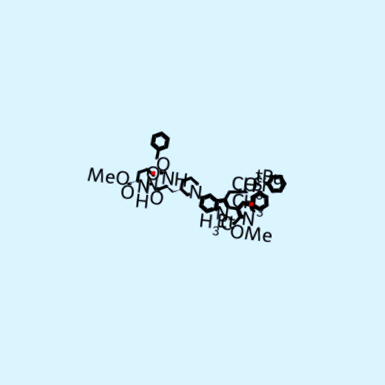 CCn1c(-c2cccnc2[C@H](C)OC)c(CC(C)(C)CO[Si](c2ccccc2)(c2ccccc2)C(C)(C)C)c2cc(N3CCC[C@@H](C[C@H](NC(=O)OCc4ccccc4)C(=O)N4CCC[C@@H](C(=O)OC)N4)C3)ccc21